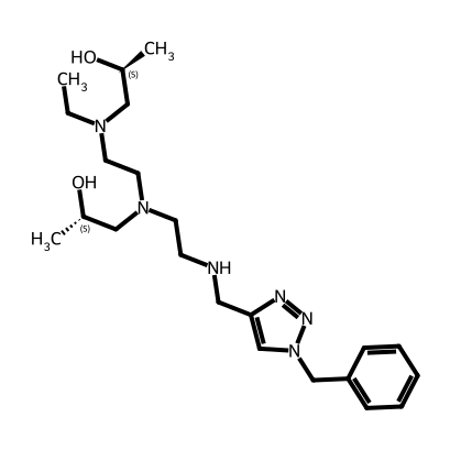 CCN(CCN(CCNCc1cn(Cc2ccccc2)nn1)C[C@H](C)O)C[C@H](C)O